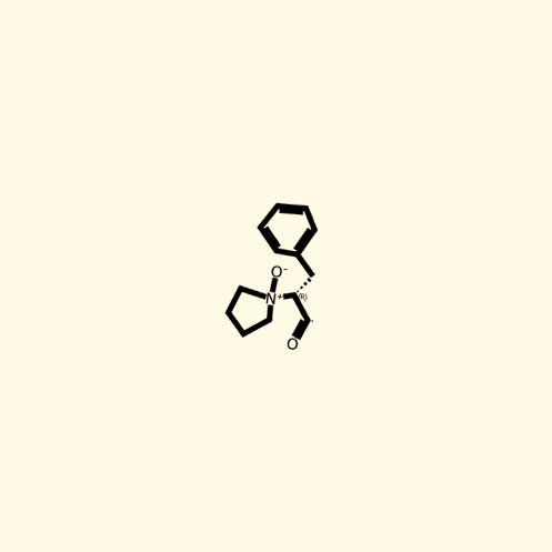 O=[C][C@@H](Cc1ccccc1)[N+]1([O-])CCCC1